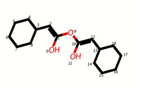 O/C(=C\C1CCCCC1)O/C(O)=C/C1CCCCC1